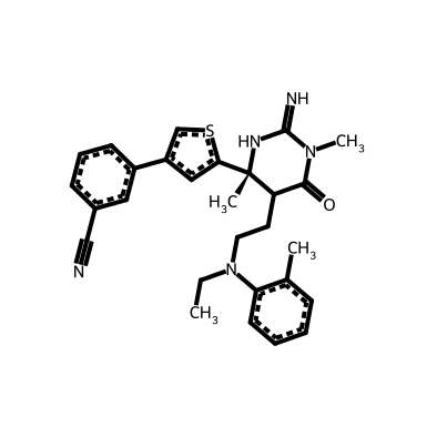 CCN(CCC1C(=O)N(C)C(=N)N[C@@]1(C)c1cc(-c2cccc(C#N)c2)cs1)c1ccccc1C